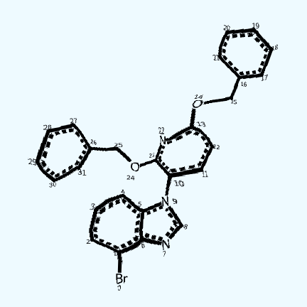 Brc1cccc2c1ncn2-c1ccc(OCc2ccccc2)nc1OCc1ccccc1